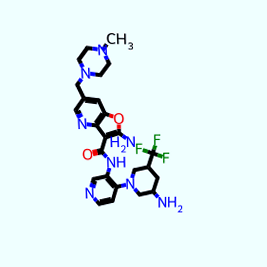 CN1CCN(Cc2cnc3c(C(=O)Nc4cnccc4N4CC(N)CC(C(F)(F)F)C4)c(N)oc3c2)CC1